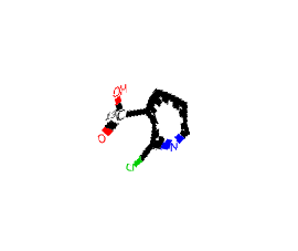 O=[13C](O)c1cccnc1Cl